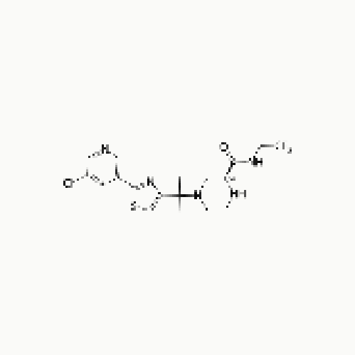 CC(C)(c1csc(-c2cncc(Cl)c2)n1)N1CCN[C@H](C(=O)NCC(F)(F)F)C1